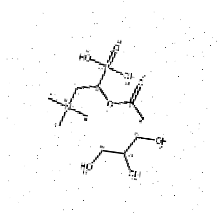 CC(=O)OC(C[N+](C)(C)C)P(=O)(O)O.OCC(O)CO